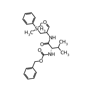 CC(C)[C@H](NC(=O)OCc1ccccc1)C(=O)NC(C=O)C[Si](C)(C)c1ccccc1